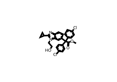 COC(=O)C(c1ccc(Cl)cc1)(c1ccc(Cl)cc1)c1ccc2nc(C3CC3)n(CCO)c2c1